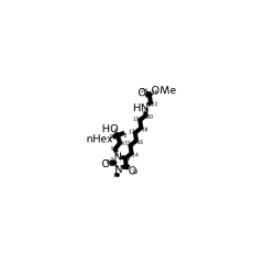 CCCCCCC(C)(O)CCN1C(=O)N(C)C(=O)C1CCCCCCCNCC(=O)OC